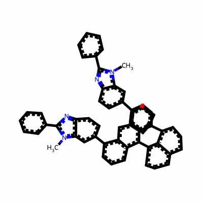 Cn1c(-c2ccccc2)nc2ccc(-c3cccc4c(-c5cccc6cccc(-c7ccccc7)c56)c5cccc(-c6ccc7nc(-c8ccccc8)n(C)c7c6)c5cc34)cc21